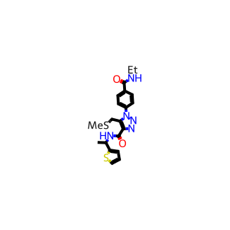 CCNC(=O)c1ccc(-n2nnc(C(=O)NC(C)c3cccs3)c2CSC)cc1